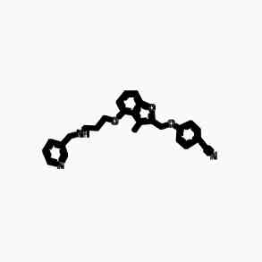 Cc1c(COc2ccc(C#N)cc2)oc2cccc(OCCCNCc3cccnc3)c12